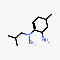 CC(C)CN(N)C1=CCC(C)CC1N